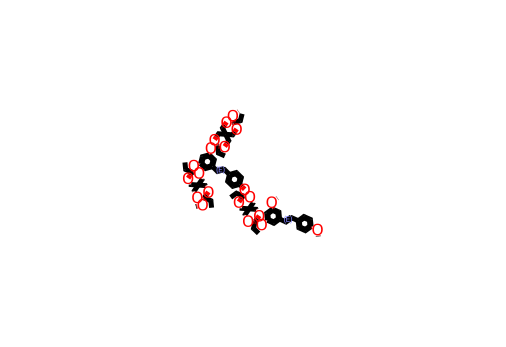 CCC1(OC)OCC2(CO1)COC(CC)(Oc1cc(/C=C/c3ccc(OC4(CC)OCC5(CO4)COC(CC)(Oc4cc(/C=C/c6ccc(OC)cc6)cc(OC)c4)OC5)cc3)cc(OC3(CC)OCC4(COC(CC)(OC)OC4)CO3)c1)OC2